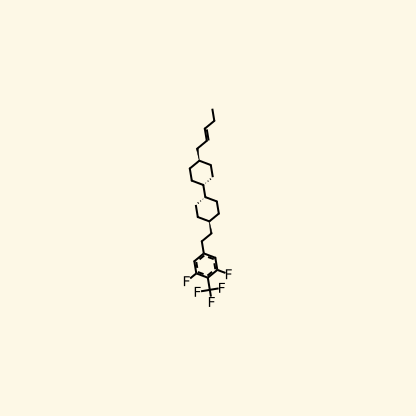 CC/C=C/C[C@H]1CC[C@H]([C@H]2CC[C@H](CCc3cc(F)c(C(F)(F)F)c(F)c3)CC2)CC1